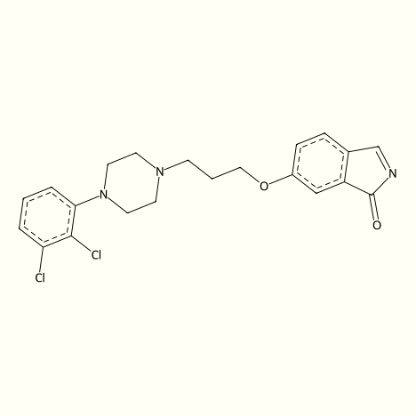 O=C1N=Cc2ccc(OCCCN3CCN(c4cccc(Cl)c4Cl)CC3)cc21